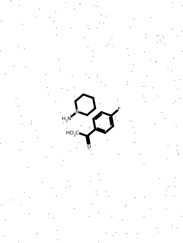 NN1CCCCC1.O=C(O)C(=O)c1ccc(F)cc1